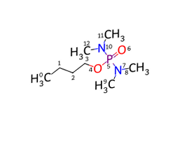 CCCCOP(=O)(N(C)C)N(C)C